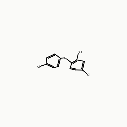 Oc1cc(Cl)ccc1Oc1ccc(Cl)cc1